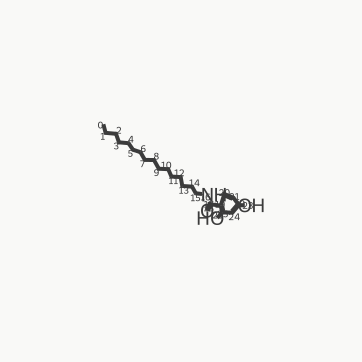 CCCCCCCCCCCCCCCCNC(=O)c1ccc(O)cc1O